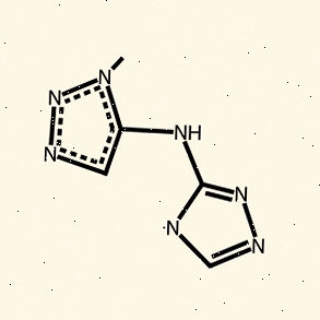 Cn1nncc1NC1=NN=C[N]1